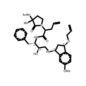 C=CCO[C@@H]1C[C@H](NC[C@@H](O)[C@H](Cc2ccccc2)NC(=O)C(CC=C)N2CCC(NC(C)=O)(C(C)CC)C2=O)c2cc(OC)ccc21